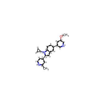 COc1cncc(-c2ccc3c(c2)cc(-c2ccnc(C)c2)n3C2CC2)c1